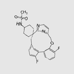 CS(=O)(=O)NC1CCC2(CC1)Cc1ccc(F)c(c1)-c1cccc(F)c1OCc1ccnc2n1